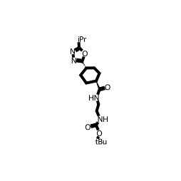 CC(C)c1nnc([C@H]2CC[C@H](C(=O)NCCNC(=O)OC(C)(C)C)CC2)o1